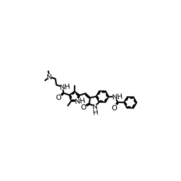 Cc1[nH]c(/C=C2\C(=O)Nc3cc(NC(=O)c4ccccc4)ccc32)c(C)c1C(=O)NCCN(C)C